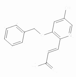 Cc1cnc(/C=C/C(=O)O)c(OCc2ccccc2)c1